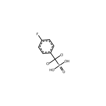 O=P(O)(O)C(Cl)(Cl)c1ccc(F)cc1